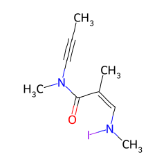 CC#CN(C)C(=O)/C(C)=C\N(C)I